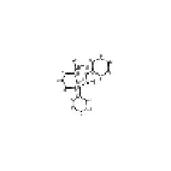 C1CCC(CNCC2CCCCC2)CC1.CN(C)C1CCCCC1